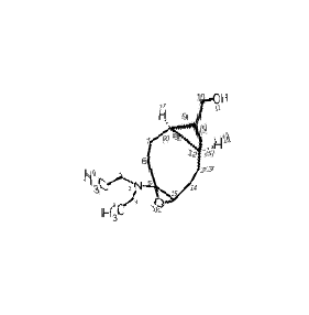 CCN(CC)C12CC[C@H]3[C@@H](CO)[C@H]3CCC1O2